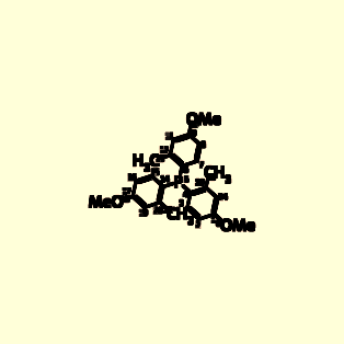 COc1ccc(P(c2ccc(OC)cc2C)c2ccc(OC)cc2C)c(C)c1